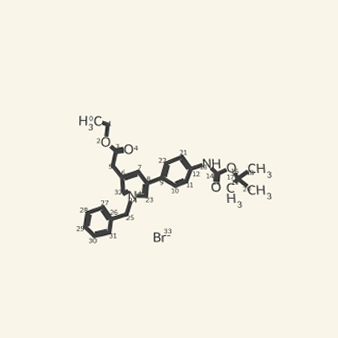 CCOC(=O)Cc1cc(-c2ccc(NC(=O)OC(C)(C)C)cc2)c[n+](Cc2ccccc2)c1.[Br-]